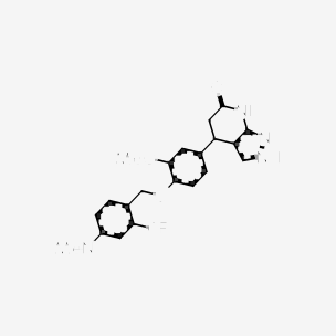 CNc1ccc(COc2ccc(C3CC(=O)Nc4n[nH]cc43)cc2OC)c(C(F)(F)F)c1